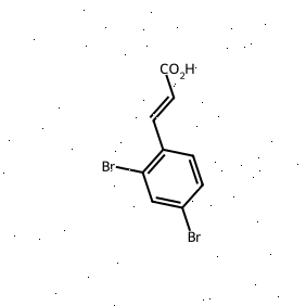 O=C(O)C=Cc1ccc(Br)cc1Br